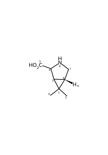 CC1(C)C2C(C(=O)O)NC[C@@H]21